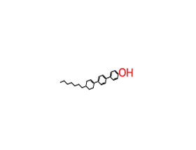 CCCCCCCC1CC=C(c2ccc(-c3ccc(O)cc3)cc2)CC1